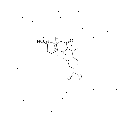 CCCC(C)C1C(=O)C[C@@H]2C[C@H](O)CC[C@]2(C)C1CCCCC(=O)OC